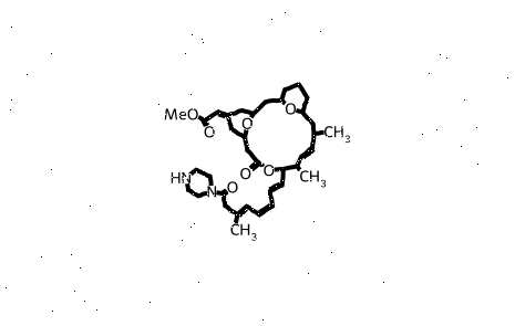 COC(=O)/C=C1\CC2CC(=O)OC(/C=C/C=C\C=C(/C)CC(=O)N3CCNCC3)C(C)/C=C/C(C)CC3CCCC(CC(C1)O2)O3